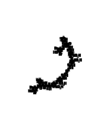 Cc1ccc(NC(C(=O)N/N=C/c2cc(Br)c(O)c(Br)c2)C(=O)NNC(=S)Nc2ccc(/C=C/c3ccc(NC(=S)NCCOCCNC(=S)Nc4ccc(/C=C/c5ccc(NC(=S)NNC(=O)C(Nc6ccc(C)cc6)C(=O)N/N=C/c6cc(Br)c(O)c(Br)c6)cc5S(=O)(=O)O)c(S(=O)(=O)O)c4)cc3S(=O)(=O)O)c(S(=O)(=O)O)c2)cc1